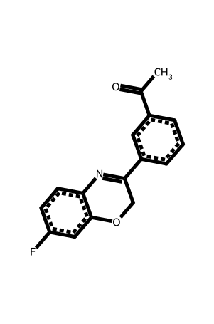 CC(=O)c1cccc(C2=Nc3ccc(F)cc3OC2)c1